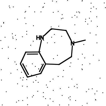 CN1CCNc2ccccc2CC1